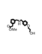 COC(=O)Cc1cccc(CNCc2ccc(OCCCO)cc2)c1